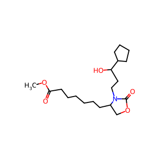 COC(=O)CCCCCCC1COC(=O)N1CCC(O)C1CCCC1